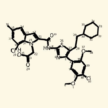 COc1cc(-c2nc(NC(=O)c3cc4cc(C)cc(Cl)c4n3CC(=O)O)sc2CCC2CCCCC2)c(OC)cc1Cl